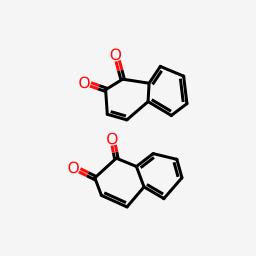 O=C1C=Cc2ccccc2C1=O.O=C1C=Cc2ccccc2C1=O